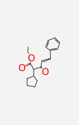 CCOC(=O)C(C(=O)C=Cc1ccccc1)C1CCCC1